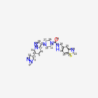 Cn1cc(-c2ccc3c(N4CCN(C(=O)NCc5ccc6scnc6c5)CC4)cnn3c2)cn1